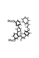 COc1cccc(N2CCC(c3ccc(OC)cc3NC(C)Cc3ccc(OCCN4CCCCCC4)cc3)C2)c1